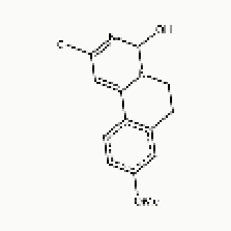 COc1ccc2c(c1)CCN1C2=CC(Cl)=NC1O